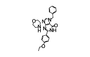 C1COCCN1.CCOc1ccc(-c2nc3ncn(Cc4ccccc4)c3c(=O)[nH]2)cc1